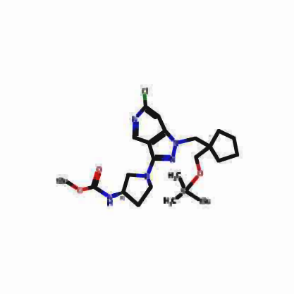 CC(C)(C)OC(=O)N[C@@H]1CCN(c2nn(CC3(CO[Si](C)(C)C(C)(C)C)CCCC3)c3cc(Cl)ncc23)C1